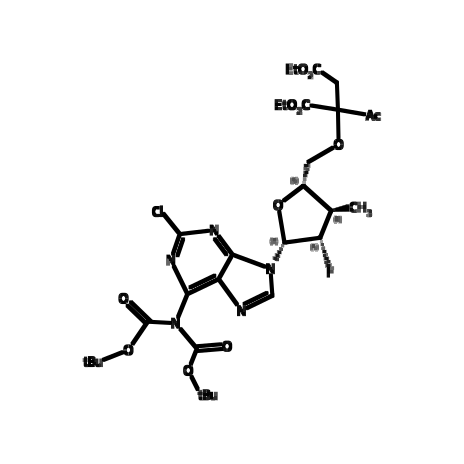 CCOC(=O)CC(OC[C@H]1O[C@@H](n2cnc3c(N(C(=O)OC(C)(C)C)C(=O)OC(C)(C)C)nc(Cl)nc32)[C@@H](F)[C@@H]1C)(C(C)=O)C(=O)OCC